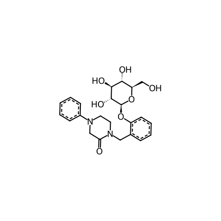 O=C1CN(c2ccccc2)CCN1Cc1ccccc1O[C@@H]1O[C@H](CO)[C@@H](O)[C@H](O)[C@H]1O